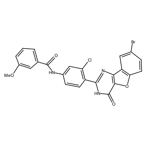 COc1cccc(C(=O)Nc2ccc(-c3nc4c(oc5ccc(Br)cc54)c(=O)[nH]3)c(Cl)c2)c1